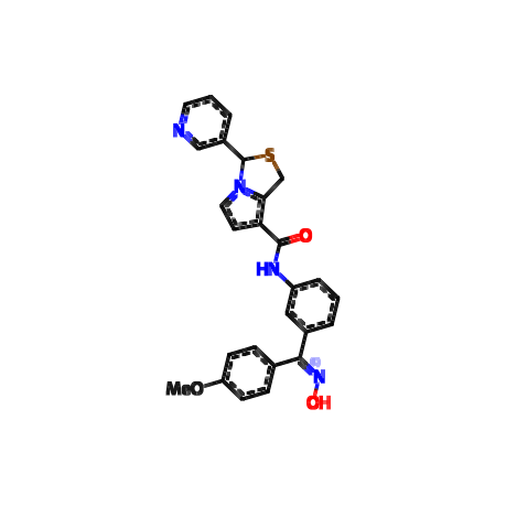 COc1ccc(/C(=N\O)c2cccc(NC(=O)c3ccn4c3CSC4c3cccnc3)c2)cc1